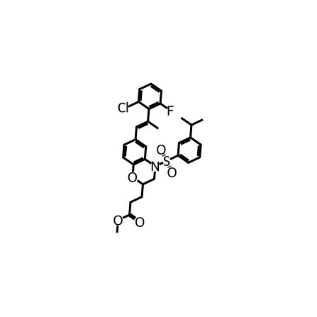 COC(=O)CCC1CN(S(=O)(=O)c2cccc(C(C)C)c2)c2cc(C=C(C)c3c(F)cccc3Cl)ccc2O1